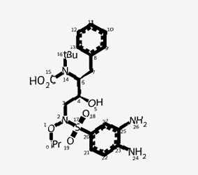 CC(C)ON(C[C@H](O)[C@H](Cc1ccccc1)N(C(=O)O)C(C)(C)C)S(=O)(=O)c1ccc(N)c(N)c1